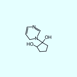 OC1CCCC1(O)N1C=NC=CC1